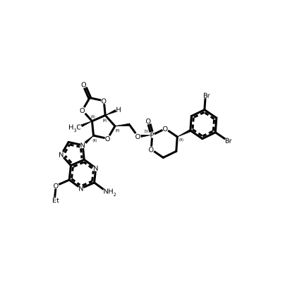 CCOc1nc(N)nc2c1ncn2[C@@H]1O[C@H](CO[P@]2(=O)OCC[C@H](c3cc(Br)cc(Br)c3)O2)[C@H]2OC(=O)O[C@]21C